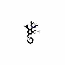 C=C/C=C(\C=C(\C)C(C)C)c1c(O)cc(CN2CCCCCC2)cc1C1CC1